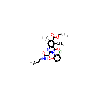 CCCNC(=O)C(O)c1nc2cc(C)c(C(=O)OCC)c(C)c2c(=O)n1-c1ccccc1Cl